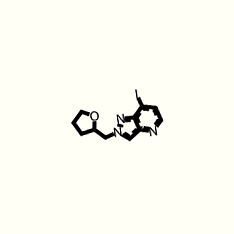 Ic1ccnc2cn(CC3CCCO3)nc12